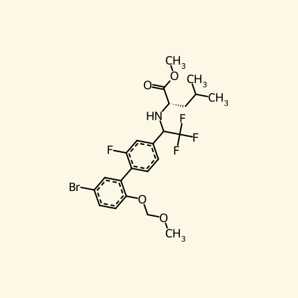 COCOc1ccc(Br)cc1-c1ccc(C(N[C@@H](CC(C)C)C(=O)OC)C(F)(F)F)cc1F